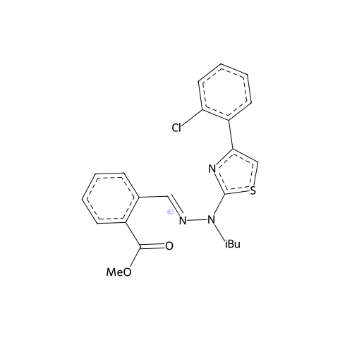 CCC(C)N(/N=C/c1ccccc1C(=O)OC)c1nc(-c2ccccc2Cl)cs1